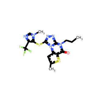 CCCn1c(=O)c2sc(C)cc2n2c(Sc3c(C(F)(F)F)ncn3C)nnc12